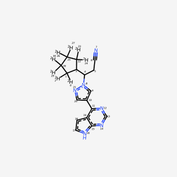 [2H]C1([2H])C(C(CC#N)n2cc(-c3ncnc4[nH]ccc34)cn2)C([2H])([2H])C([2H])([2H])C1([2H])[2H]